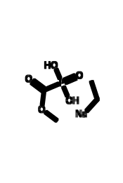 COC(=O)P(=O)(O)O.C[CH2][Na]